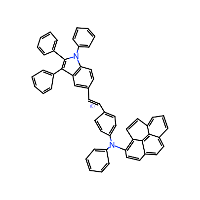 C(=C\c1ccc2c(c1)c(-c1ccccc1)c(-c1ccccc1)n2-c1ccccc1)/c1ccc(N(c2ccccc2)c2ccc3ccc4cccc5ccc2c3c45)cc1